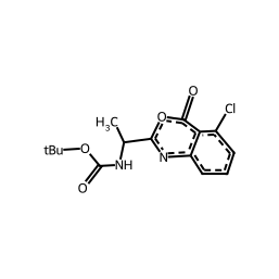 CC(NC(=O)OC(C)(C)C)c1nc2cccc(Cl)c2c(=O)o1